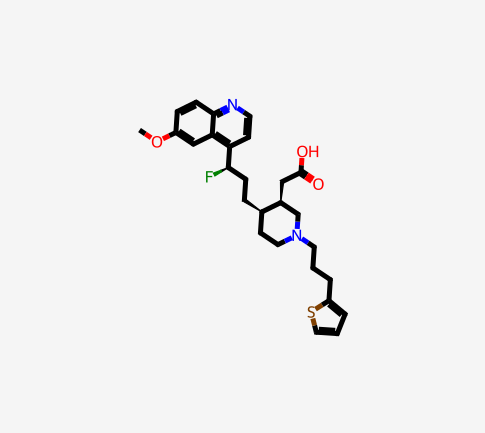 COc1ccc2nccc([C@H](F)CC[C@@H]3CCN(CCCc4cccs4)C[C@@H]3CC(=O)O)c2c1